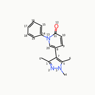 Cc1nn(C)c(C)c1-c1ccc(=O)n(-c2ccccc2)c1